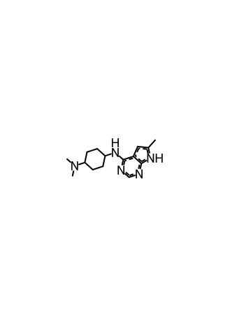 Cc1cc2c(NC3CCC(N(C)C)CC3)ncnc2[nH]1